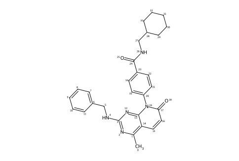 Cc1nc(NCc2ccccc2)nc2c1ccc(=O)n2-c1ccc(C(=O)NCC2CCCCC2)cc1